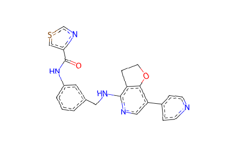 O=C(Nc1cccc(CNc2ncc(-c3ccncc3)c3c2CCO3)c1)c1cscn1